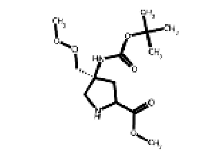 COOC[C@@]1(NC(=O)OC(C)(C)C)CNC(C(=O)OC)C1